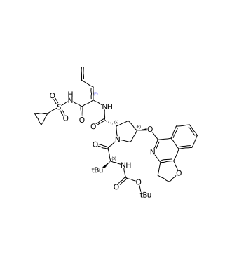 C=C/C=C(/NC(=O)[C@@H]1C[C@@H](Oc2nc3c(c4ccccc24)OCC3)CN1C(=O)[C@@H](NC(=O)OC(C)(C)C)C(C)(C)C)C(=O)NS(=O)(=O)C1CC1